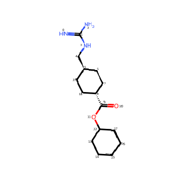 N=C(N)NC[C@H]1CC[C@H](C(=O)OC2CCCCC2)CC1